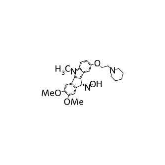 COc1cc2c(cc1OC)-c1c(c3cc(OCCN4CCCCC4)ccc3n1C)C2=NO